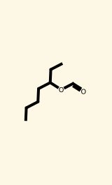 CCCCC(CC)O[C]=O